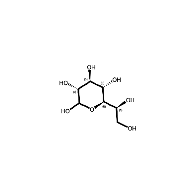 OC[C@H](O)[C@H]1OC(O)[C@H](O)[C@@H](O)[C@@H]1O